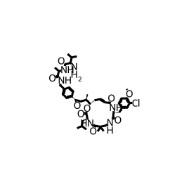 COc1ccc(C[C@H]2NC(=O)/C=C/C[C@@H]([C@H](C)[C@H]3O[C@@H]3c3ccc(CNC(=O)C(C)NC(=O)C(N)C(C)C)cc3)OC(=O)[C@H](CC(C)C)NC(=O)C(C)(C)CNC2=O)cc1Cl